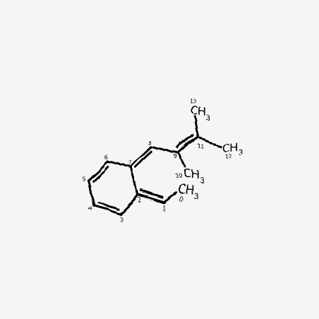 C/C=c1/cccc/c1=C/C(C)=C(C)C